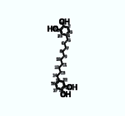 Oc1ccc(CCCCCCCCCCc2ccc(O)c(O)c2)cc1O